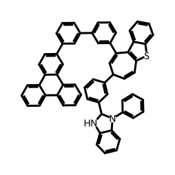 C1=CC(c2cccc(C3Nc4ccccc4N3c3ccccc3)c2)C=C(c2cccc(-c3cccc(-c4ccc5c6ccccc6c6ccccc6c5c4)c3)c2)c2c1sc1ccccc21